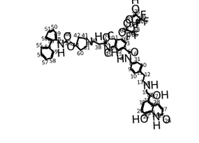 Cc1ccc(C(=O)Nc2ccc(CCNC[C@H](O)c3ccc(O)c4[nH]c(=O)ccc34)cc2)cc1N(C)C(=O)CCN1CCC(OC(=O)Nc2ccccc2-c2ccccc2)CC1.O=C(O)C(F)(F)F.O=C(O)C(F)(F)F